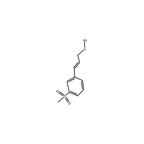 CC(=O)SC/C=C/c1cccc(S(C)(=O)=O)c1